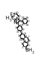 Bc1ccc2c(ccc3cc(-c4ccc(-c5nc(C)n(/C=C\CC)c5-c5ccccc5)cc4)ccc32)c1